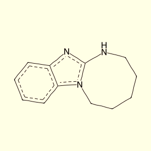 c1ccc2c(c1)nc1n2CCCCCN1